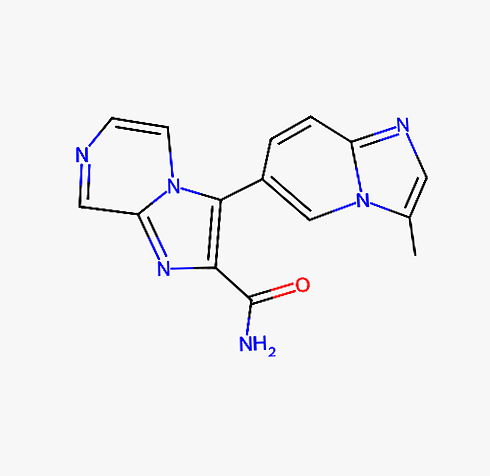 Cc1cnc2ccc(-c3c(C(N)=O)nc4cnccn34)cn12